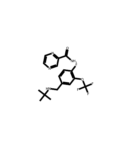 CC(C)(C)NCc1ccc(F)c(OC(F)(F)F)c1.NC(=O)c1cnccn1